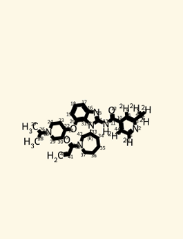 [2H]c1nc(C([2H])([2H])[2H])c([2H])c(C(=O)Nc2nc3cccc(OC4CCN(C(C)C)CC4)c3n2[C@@H]2CCCCN(C(=O)C=C)C2)c1[2H]